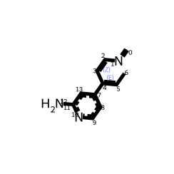 C=N/C=C\C(=C/C)c1ccnc(N)c1